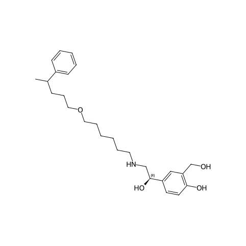 CC(CCCOCCCCCCNC[C@H](O)c1ccc(O)c(CO)c1)c1ccccc1